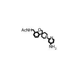 CC(=O)NCc1cccc2c1OCC21CCN(c2cc(N)ccn2)CC1